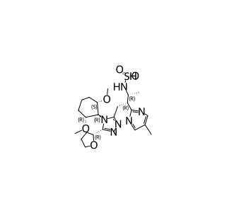 CO[C@H]1CCC[C@@H](OC)[C@@H]1n1c(C[C@@H](c2ncc(C)cn2)[C@@H](C)N[SH](=O)=O)nnc1[C@H]1CCCO1